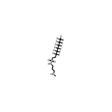 CNCCCNS(=O)(=O)CCC(F)(F)C(F)(F)C(F)(F)C(F)(F)C(F)(F)C(F)(F)F